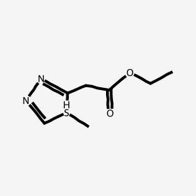 CCOC(=O)CC1=NN=C[SH]1C